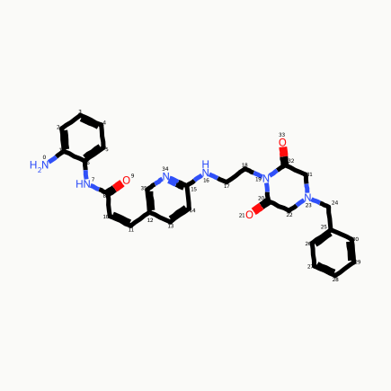 Nc1ccccc1NC(=O)/C=C\c1ccc(NCCN2C(=O)CN(Cc3ccccc3)CC2=O)nc1